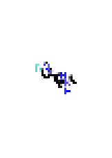 C=N/C=C(\C=C/CF)c1cnc(NC(=C)C)c(C)c1